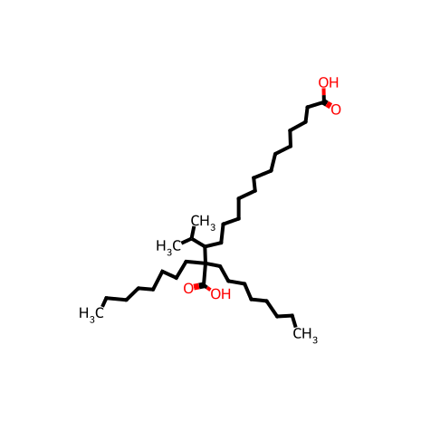 CCCCCCCCC(CCCCCCCC)(C(=O)O)C(CCCCCCCCCCCCC(=O)O)C(C)C